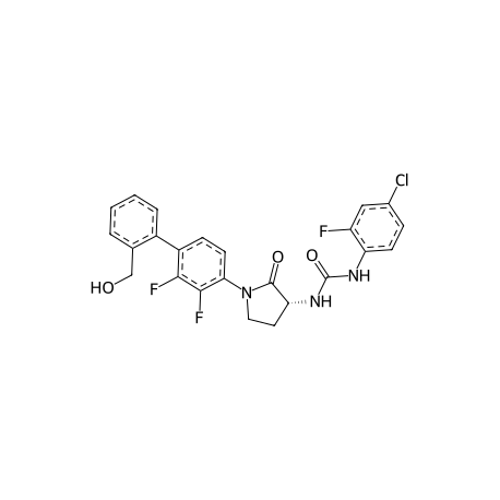 O=C(Nc1ccc(Cl)cc1F)N[C@@H]1CCN(c2ccc(-c3ccccc3CO)c(F)c2F)C1=O